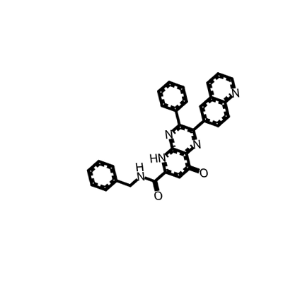 O=C(NCc1ccccc1)c1cc(=O)c2nc(-c3ccc4ncccc4c3)c(-c3ccccc3)nc2[nH]1